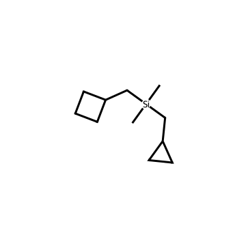 C[Si](C)(CC1CCC1)CC1CC1